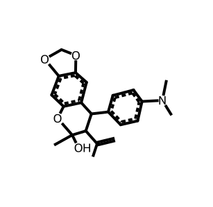 C=C(C)C1C(c2ccc(N(C)C)cc2)c2cc3c(cc2OC1(C)O)OCO3